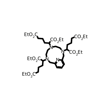 CCOC(=O)CCCC(C(=O)OCC)N1CCN(C(CCCC(=O)OCC)C(=O)OCC)Cc2cccc(n2)CN(C(CCCC(=O)OCC)C(=O)OCC)CC1